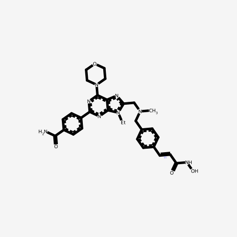 CCn1c(CN(C)Cc2ccc(/C=C/C(=O)NO)cc2)nc2c(N3CCOCC3)nc(-c3ccc(C(N)=O)cc3)nc21